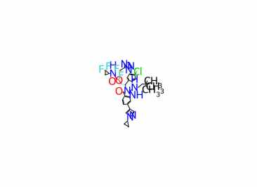 CC(C)(C)CCNC(=N)N(C(=O)c1ccc(-c2cnn(C3CC3)c2)cc1)[C@H](COC(=O)N[C@H]1CC1(F)F)c1ccc(Cl)c(-n2ncnc2C(F)F)c1